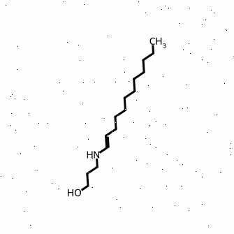 CCCCCCCCCCC=CNCCCO